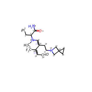 CC(C)CC(C(N)=O)N(C)/C=C(CCN1CC2(CC2)C1)\C(=C/C=O)C(F)(F)F